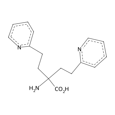 NC(CCc1ccccn1)(CCc1ccccn1)C(=O)O